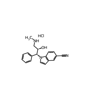 CNC[C@@H](O)[C@H](c1ccccc1)n1ccc2cc(C#N)ccc21.Cl